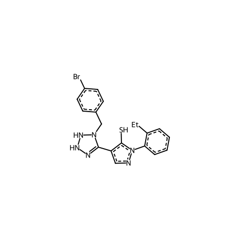 CCc1ccccc1-n1ncc(C2=NNNN2Cc2ccc(Br)cc2)c1S